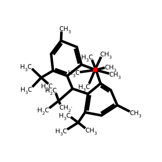 [CH2]C([CH2])([CH2])[C](c1c(C(C)(C)C)cc(C)cc1C(C)(C)C)c1c(C(C)(C)C)cc(C)cc1C(C)(C)C